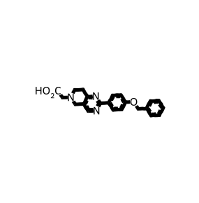 O=C(O)CN1CCc2nc(-c3ccc(OCc4ccccc4)cc3)ncc2C1